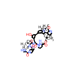 CCn1c(-c2cccnc2[C@H](C)OC)c2c3cc(ccc31)-c1cc(O)cc(c1)C[C@H](NC(=O)[C@H](C(C)C)N(C)C(=O)[C@@]13CC1CN(C(=O)[C@H]1CN1)C3)C(=O)N1CCC[C@H](N1)C(=O)OCC(C)(C)C2